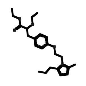 CCCc1ccc(C)n1CCOc1ccc(CC(OCC)C(=O)OCC)cc1